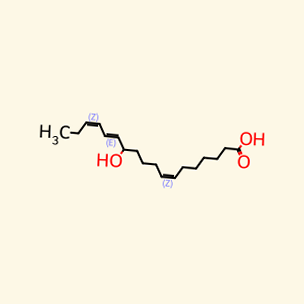 CC/C=C\C=C\C(O)CCC/C=C\CCCCCC(=O)O